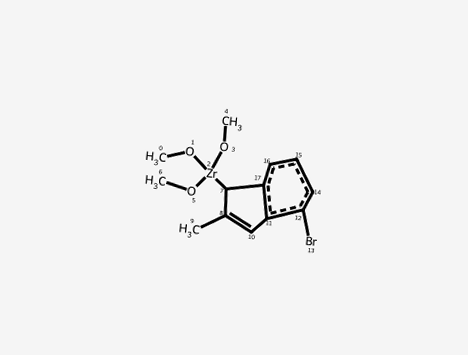 C[O][Zr]([O]C)([O]C)[CH]1C(C)=Cc2c(Br)cccc21